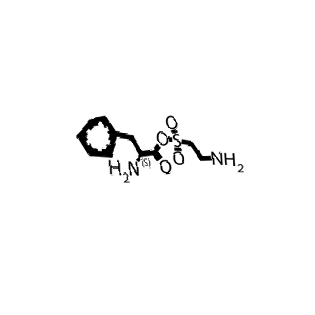 NCCS(=O)(=O)OC(=O)[C@@H](N)Cc1ccccc1